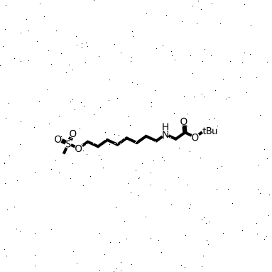 CC(C)(C)OC(=O)CNCCCCCCCCOS(C)(=O)=O